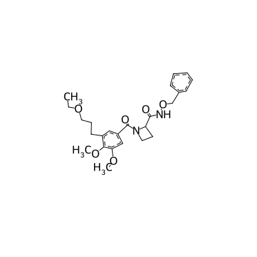 CCOCCCc1cc(C(=O)N2CCC2C(=O)NOCc2ccccc2)cc(OC)c1OC